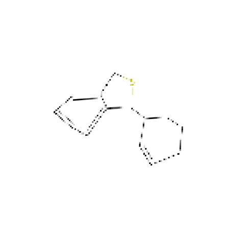 C1=CC(C2SCc3ccccc32)CCC1